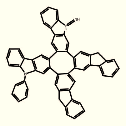 N=[PH]1c2ccccc2-c2cc3c(cc21)-c1cc2c(cc1-c1cc4c(cc1-c1cc5c(cc1-3)c1ccccc1n5-c1ccccc1)Cc1ccccc1-4)-c1ccccc1C2